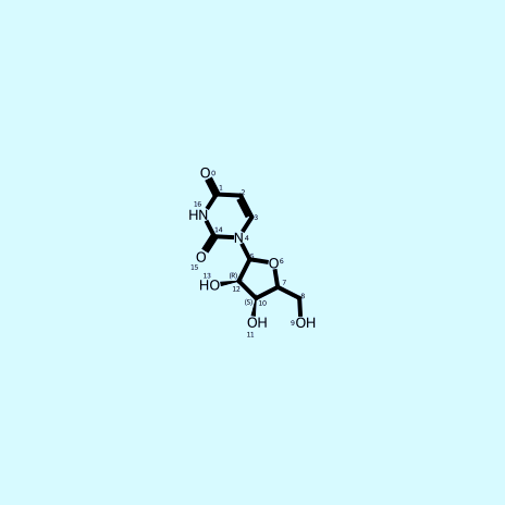 O=c1ccn(C2OC(CO)[C@@H](O)[C@H]2O)c(=O)[nH]1